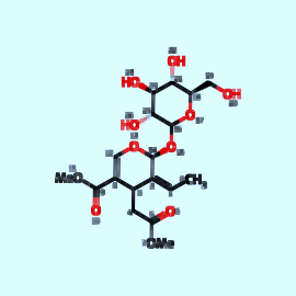 C/C=C1/C(CC(=O)OC)C(C(=O)OC)=CO[C@H]1OC1O[C@H](CO)[C@@H](O)[C@H](O)[C@H]1O